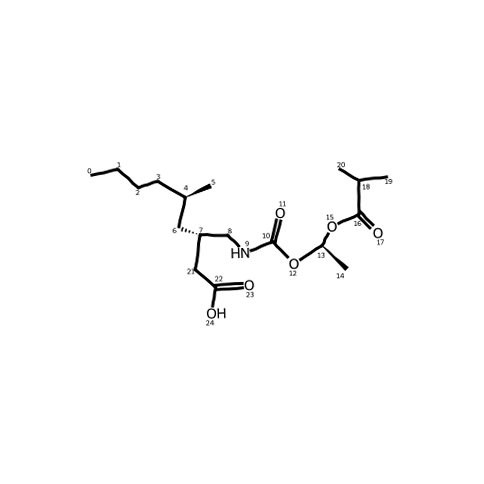 CCCC[C@@H](C)C[C@H](CNC(=O)O[C@H](C)OC(=O)C(C)C)CC(=O)O